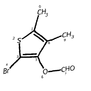 Cc1sc(Br)c(OC=O)c1C